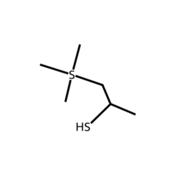 CC(S)CS(C)(C)C